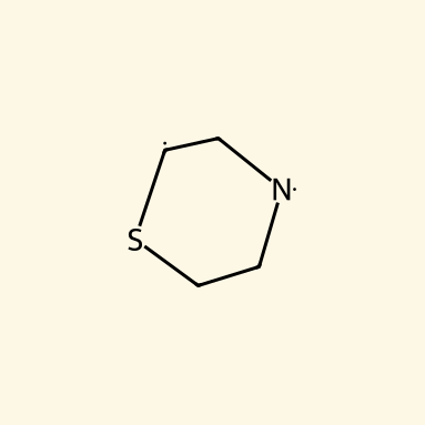 [CH]1C[N]CCS1